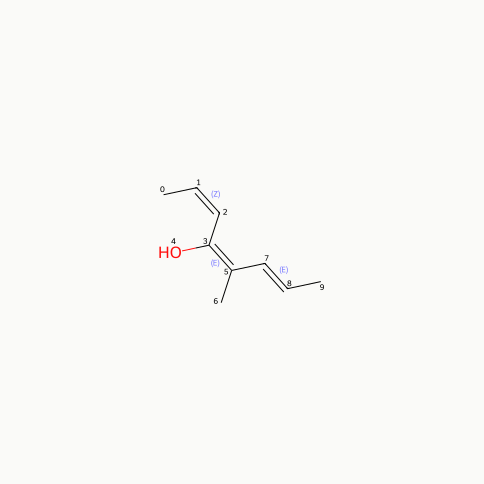 C\C=C/C(O)=C(C)\C=C\C